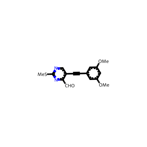 COc1cc(C#Cc2cnc(SC)nc2C=O)cc(OC)c1